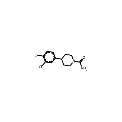 NC(=O)N1CCC(c2ccc(Cl)c(Cl)c2)CC1